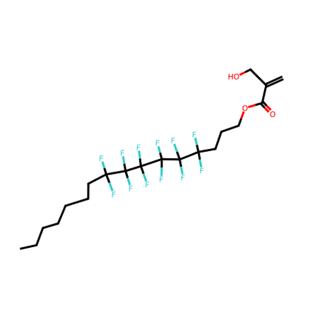 C=C(CO)C(=O)OCCCC(F)(F)C(F)(F)C(F)(F)C(F)(F)C(F)(F)C(F)(F)CCCCCCC